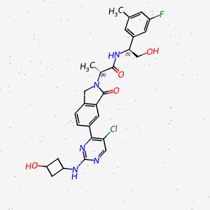 Cc1cc(F)cc([C@@H](CO)NC(=O)[C@@H](C)N2Cc3ccc(-c4nc(NC5CC(O)C5)ncc4Cl)cc3C2=O)c1